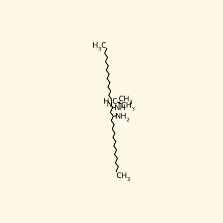 CCCCCCCCCCCCCCN=C(CC(N)CCCCCCCCCCCCCC)NC(C)(C)C